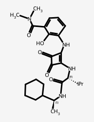 CC(C)[C@@H](Nc1c(Nc2cccc(C(=O)N(C)C)c2O)c(=O)c1=O)C(=O)N[C@@H](C)C1CCCCC1